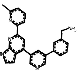 Cc1cccc(-c2cc(-c3cncc(-c4cccc(CN)c4)c3)c3cc[nH]c3n2)n1